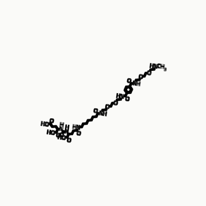 CNCCOCCOCCNC(=O)c1ccc(C(=O)NCCOCCOCCNC(=O)CCCCCCCNC(=O)CCC(NC(=O)NC(CCC(=O)O)C(=O)O)C(=O)O)cc1